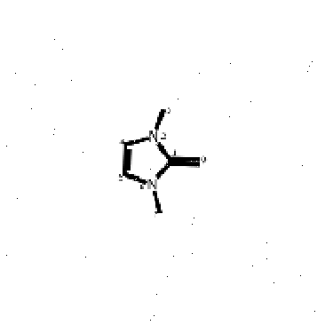 C=C1N(C)C=CN1C